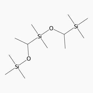 CC(O[Si](C)(C)C(C)O[Si](C)(C)C)[Si](C)(C)C